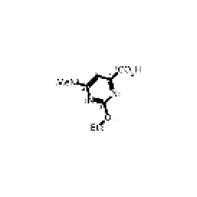 CCOc1nc(NC)cc(C(=O)O)n1